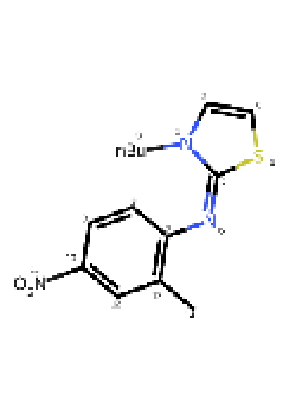 CCCCn1ccsc1=Nc1ccc([N+](=O)[O-])cc1C